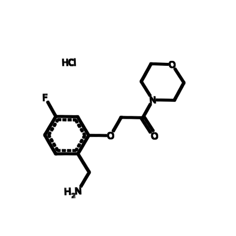 Cl.NCc1ccc(F)cc1OCC(=O)N1CCOCC1